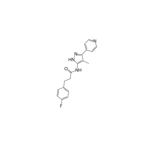 Cc1c(-c2ccncc2)n[nH]c1NC(=O)CCc1ccc(F)cc1